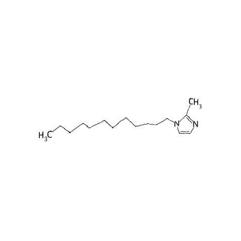 CCCCCCCCCCCCn1ccnc1C